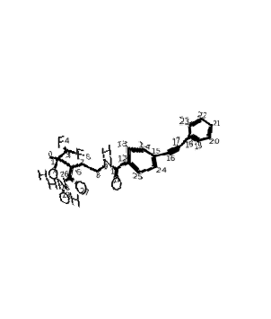 CC(O)(C(F)F)C(CCNC(=O)c1ccc(C#Cc2ccccc2)cc1)C(=O)NO